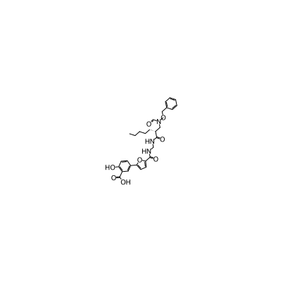 CCCCC[C@H](CN(C=O)OCc1ccccc1)C(=O)NCNC(=O)c1ccc(-c2ccc(O)c(C(=O)O)c2)o1